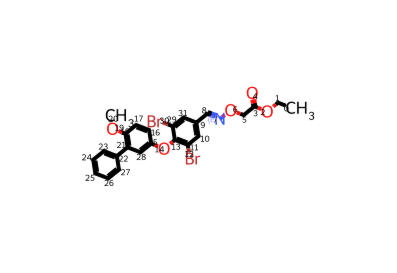 CCOC(=O)CO/N=C/c1cc(Br)c(Oc2ccc(OC)c(-c3ccccc3)c2)c(Br)c1